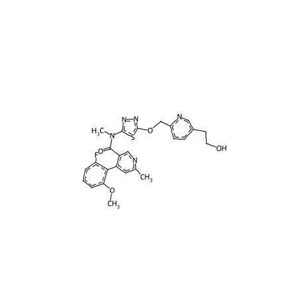 COc1cccc(F)c1-c1cc(C)ncc1C(=O)N(C)c1nnc(OCc2ccc(CCO)cn2)s1